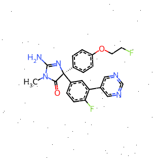 CN1C(=O)[C@](c2ccc(OCCF)cc2)(c2ccc(F)c(-c3cncnc3)c2)N=C1N